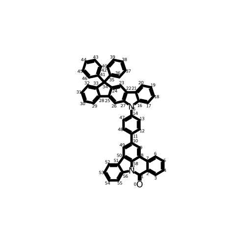 O=c1c2ccccc2c2cc(-c3ccc(-n4c5ccccc5c5cc6c(cc54)-c4ccccc4C6(c4ccccc4)c4ccccc4)cc3)cc3c4ccccc4n1c23